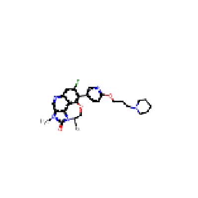 CC[C@@H]1COc2c(-c3ccc(OCCCN4CCCCC4)nc3)c(F)cc3ncc4c(c23)n1c(=O)n4C